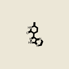 C=C1CCC(c2n[nH]c3nccnc23)C(=O)N1